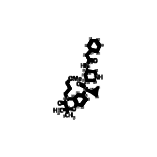 COCCCN1C(=O)C(C)(C)Oc2ccc(N(C(=O)[C@H]3CNC[C@@H](NC(=O)Cc4ccccc4)C3)C3CC3)cc21